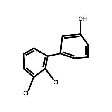 Oc1cccc(-c2[c]ccc(Cl)c2Cl)c1